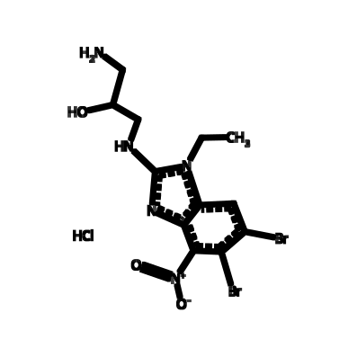 CCn1c(NCC(O)CN)nc2c([N+](=O)[O-])c(Br)c(Br)cc21.Cl